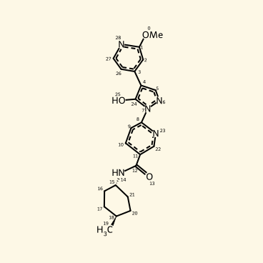 COc1cc(-c2cnn(-c3ccc(C(=O)N[C@H]4CC[C@H](C)CC4)cn3)c2O)ccn1